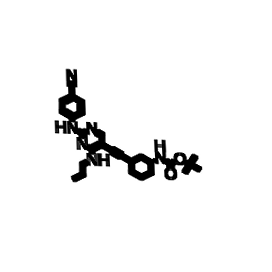 CCCNc1nc(Nc2ccc(C#N)cc2)ncc1C#CC1CCC[C@H](NC(=O)OC(C)(C)C)C1